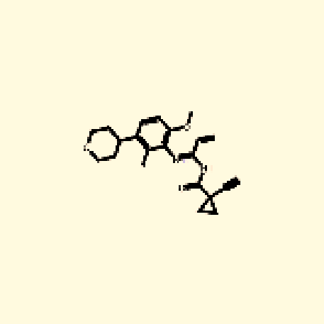 C#CC1(C(=O)N/C(C=C)=N/c2c(OC)ccc(C3CCOCC3)c2C)CC1